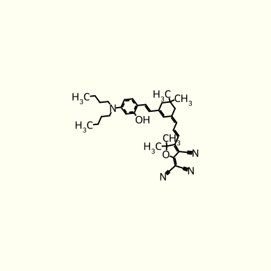 CCCCN(CCCC)c1ccc(/C=C/C2=CC(=CC=CC3=C(C#N)C(=C(C#N)C#N)OC3(C)C)CC(C)(C)C2)c(O)c1